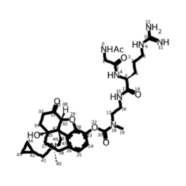 CC(=O)NCC(=O)N[C@@H](CCCNC(=N)N)C(=O)NCCN(C)C(=O)Oc1ccc2c3c1O[C@H]1C(=O)CC[C@@]4(O)C(C2)[N@+](C)(CC2CC2)CC[C@]314